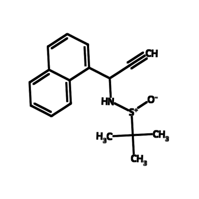 C#CC(N[S+]([O-])C(C)(C)C)c1cccc2ccccc12